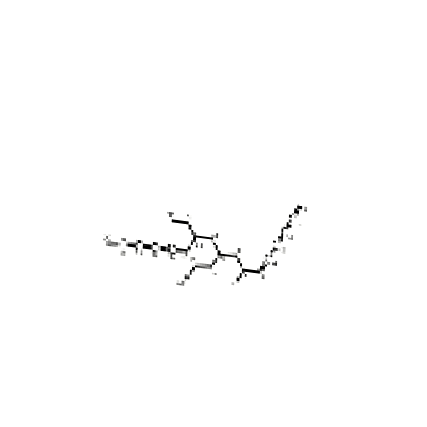 C=C=C=C=C=CC(C)CC(CCF)CC(C=C=C=C=C=C)CC